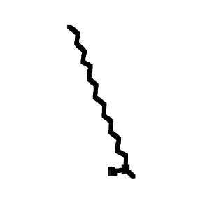 CCCCCCCCCCCCCCCCN(C)Br